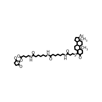 CC(=O)C1CCC2C3CCC4=C(SCCC(=O)NCCCCCC(=O)NCCCCCC(=O)NCCCC(=O)ON5C(=O)CCC5=O)C(=O)CC[C@]4(C)C3CC[C@]12C